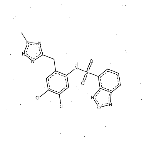 Cn1nnc(Cc2cc(Cl)c(Cl)cc2NS(=O)(=O)c2cccc3nonc23)n1